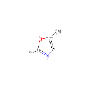 Cc1ncc(C#N)o1